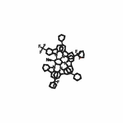 N#Cc1c(-n2c3ccccc3c3cc(C(F)(F)F)ccc32)c(-n2c3ccc(-c4ccccc4)cc3c3cc(-c4ccccc4)ccc32)c(-n2c3ccccc3c3cc(C(F)(F)F)ccc32)c(-n2c3ccc(-c4ccccc4)cc3c3cc(-c4ccccc4)ccc32)c1-n1c2ccccc2c2cc(C(F)(F)F)ccc21